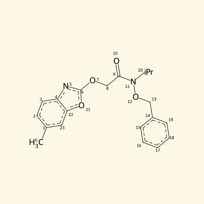 Cc1ccc2nc(OCC(=O)N(OCc3ccccc3)C(C)C)oc2c1